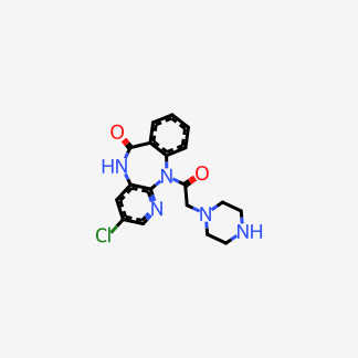 O=C1Nc2cc(Cl)cnc2N(C(=O)CN2CCNCC2)c2ccccc21